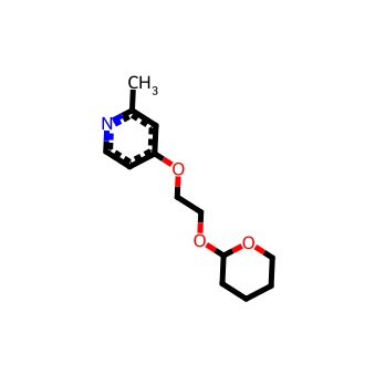 Cc1cc(OCCOC2CCCCO2)ccn1